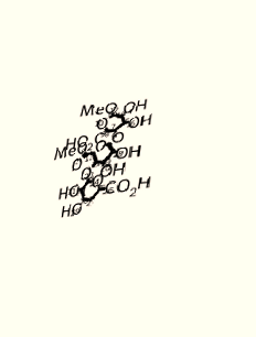 COC(=O)C1OC(OC2C(C(=O)O)OC(OC)C(O)C2O)C(O)C(O)C1OC1OC(C(=O)O)CC(O)C1O